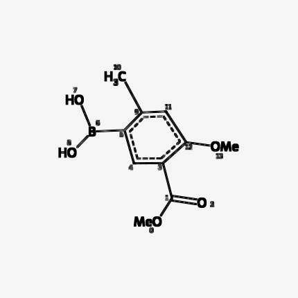 COC(=O)c1cc(B(O)O)c(C)cc1OC